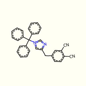 N#Cc1ccc(Cc2cn(C(c3ccccc3)(c3ccccc3)c3ccccc3)cn2)cc1C#N